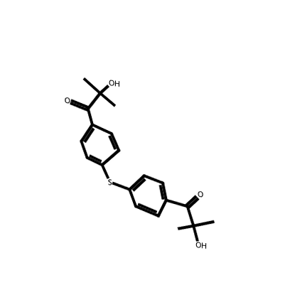 CC(C)(O)C(=O)c1ccc(Sc2ccc(C(=O)C(C)(C)O)cc2)cc1